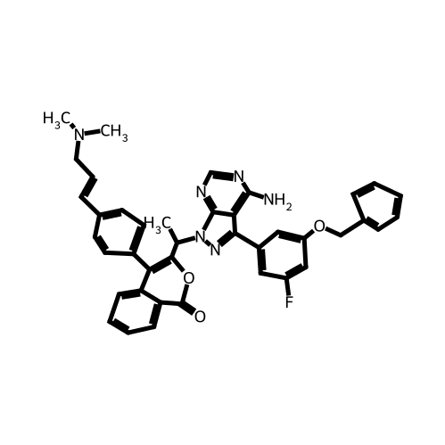 CC(c1oc(=O)c2ccccc2c1-c1ccc(/C=C/CN(C)C)cc1)n1nc(-c2cc(F)cc(OCc3ccccc3)c2)c2c(N)ncnc21